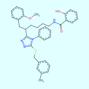 COc1ccccc1CC(CCCCNC(=O)c1ccccc1O)c1nnc(SCc2cccc(C)c2)n1-c1ccccc1